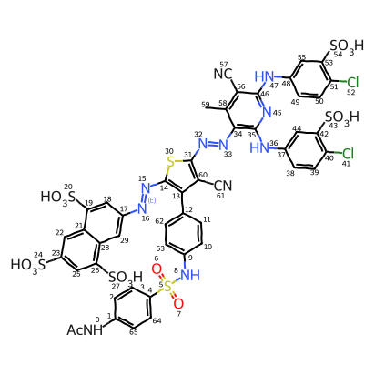 CC(=O)Nc1ccc(S(=O)(=O)Nc2ccc(-c3c(/N=N/c4cc(S(=O)(=O)O)c5cc(S(=O)(=O)O)cc(S(=O)(=O)O)c5c4)sc(N=Nc4c(Nc5ccc(Cl)c(S(=O)(=O)O)c5)nc(Nc5ccc(Cl)c(S(=O)(=O)O)c5)c(C#N)c4C)c3C#N)cc2)cc1